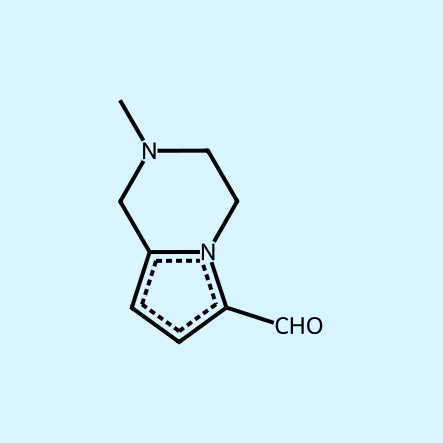 CN1CCn2c(C=O)ccc2C1